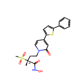 C[C@@](CCn1ccc(-c2ccc(-c3ccccc3)s2)cc1=O)(C(=O)NO)S(C)(=O)=O